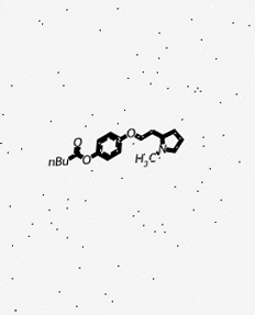 CCCCC(=O)Oc1ccc(OCCC2CCCN2C)cc1